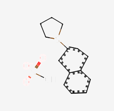 CS(=O)(=O)[O-].c1ccc2cc([S+]3CCCC3)ccc2c1